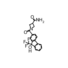 NC(=O)C1CN(C(=O)c2ccc3c(c2)C(O)(C(F)(F)F)c2ccccc2-3)C1